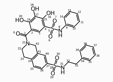 O=C(c1cc(S(=O)(=O)Nc2ccccc2)c(O)c(O)c1O)N1CCc2ccc(S(=O)(=O)NCCc3ccccc3)cc2C1